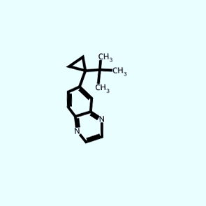 CC(C)(C)C1(c2ccc3nccnc3c2)CC1